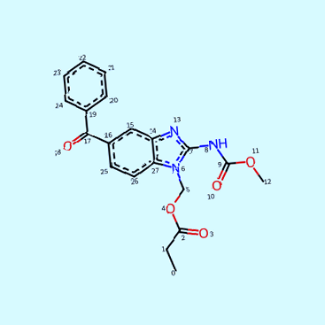 CCC(=O)OCn1c(NC(=O)OC)nc2cc(C(=O)c3ccccc3)ccc21